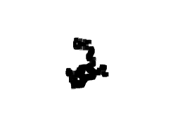 CN(C)c1cc2ccn(C)c2cc1SCCC=O